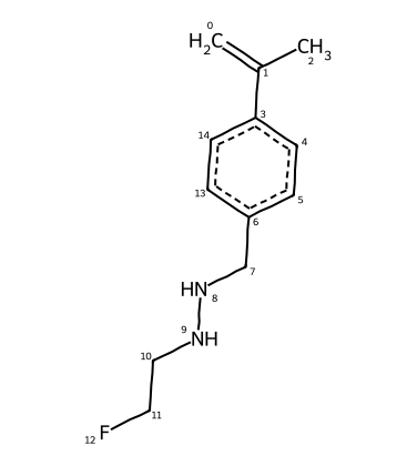 C=C(C)c1ccc(CNNCCF)cc1